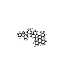 CC1(C)c2c(ccc3c2sc2c(-c4cccc5c4oc4ccccc45)cccc23)-c2c1c1c3ccccc3c3ccccc3c1c1ccccc21